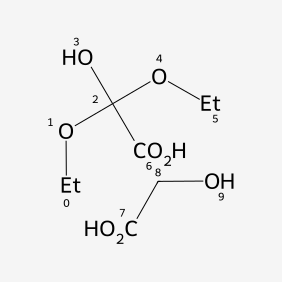 CCOC(O)(OCC)C(=O)O.O=C(O)CO